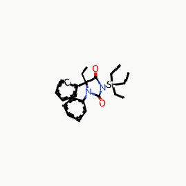 CCC1(c2ccccc2)C(=O)N([Si](CC)(CC)CC)C(=O)N1c1ccccc1